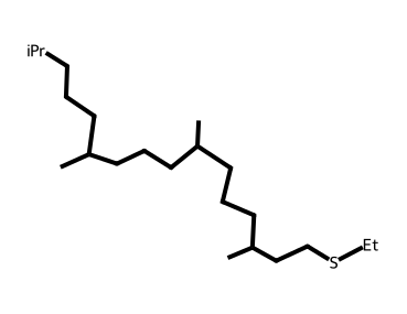 CCSCCC(C)CCCC(C)CCCC(C)CCCC(C)C